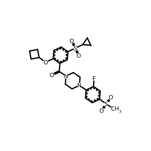 CS(=O)(=O)c1ccc(N2CCN(C(=O)c3cc(S(=O)(=O)C4CC4)ccc3OC3CCC3)CC2)c(F)c1